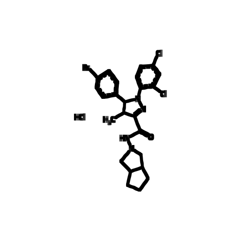 CC1C(C(=O)NN2CC3CCCC3C2)=NN(c2ccc(Cl)cc2Cl)C1c1ccc(Br)cc1.Cl